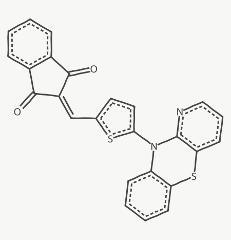 O=C1C(=Cc2ccc(N3c4ccccc4Sc4cccnc43)s2)C(=O)c2ccccc21